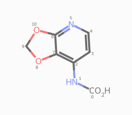 O=C(O)Nc1ccnc2c1OCO2